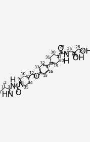 CC(C)C(=N)NC(=O)N1CCC(COc2ccc(C3=CCC(C(=O)NC[C@H](O)CO)CC3)cc2)CC1